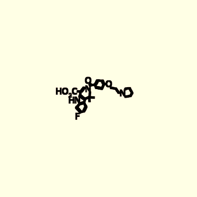 CC1(C)CN(C(=O)c2ccc(OCCCN3CCCCC3)cc2)C=C(C(=O)O)c2[nH]c3cc(F)ccc3c21